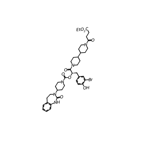 CCOC(=O)CCC(=O)N1CCC(C2CCN(C(=O)[C@@H](Cc3ccc(O)c(Br)c3)OC(=O)N3CCC(N4CCc5ccccc5NC4=O)CC3)CC2)CC1